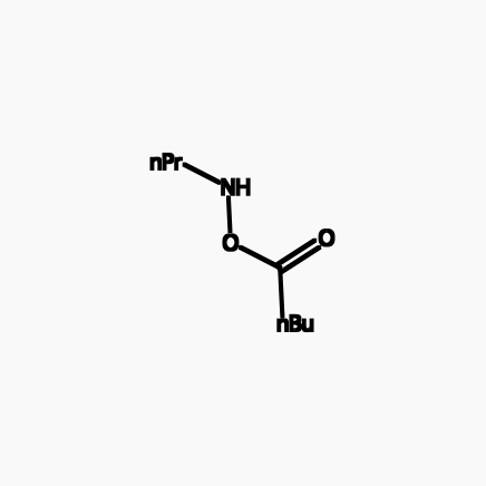 CCCCC(=O)ONCCC